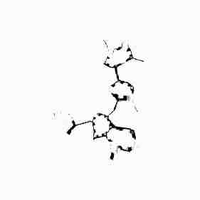 Cc1nn(C)cc1-c1cn(C)c(-c2nc(C(N)=O)cc3c2cnn3C)n1